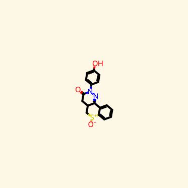 O=C1CC2C[S+]([O-])c3ccccc3C2=NN1c1ccc(O)cc1